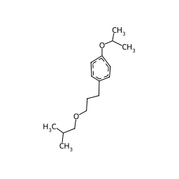 CC(C)COCCCc1ccc(OC(C)C)cc1